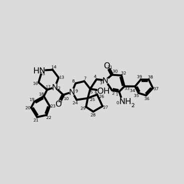 Nc1cn(CC2(O)CCN(C(=O)N3CCNCC3c3ccccc3)CC23CCCC3)c(=O)cc1-c1ccccc1